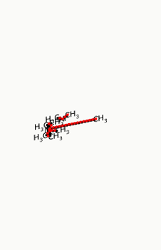 CCCCCCCCCCCCCCCCCCCCCCCCCCCCCC1=C(c2cc(C)cc(C)c2)[N+](=[N-])C(c2cc(C)cc(C)c2)=C1CCCC.CCC[CH2][Ni][CH2]CCC